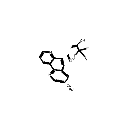 CO.O=C(O)C(F)(F)F.[Cu].[Pd].c1cnc2c(c1)ccc1ncccc12